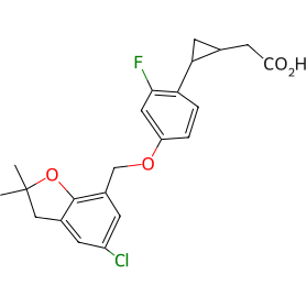 CC1(C)Cc2cc(Cl)cc(COc3ccc(C4CC4CC(=O)O)c(F)c3)c2O1